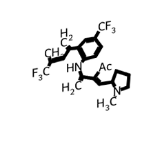 C=C(Nc1ccc(C(F)(F)F)cc1C(=C)/C=C(\C)C(F)(F)F)/C(=C/C1CCCN1C)C(C)=O